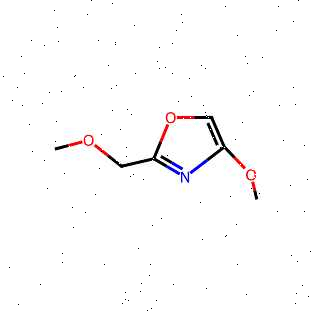 COCc1nc(OC)co1